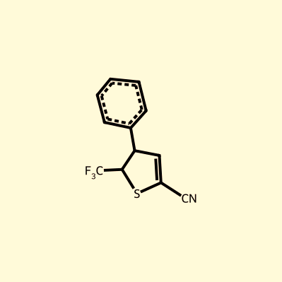 N#CC1=CC(c2ccccc2)C(C(F)(F)F)S1